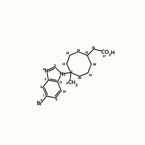 CC1(n2cnc3cc(Br)ccc32)CCCC(CC(=O)O)CCC1